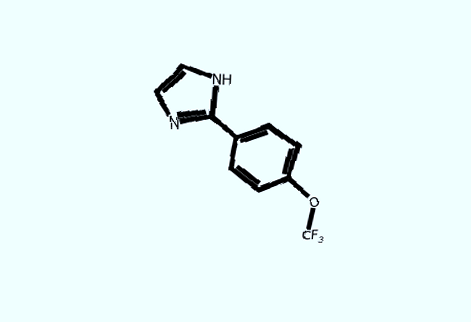 FC(F)(F)Oc1ccc(-c2ncc[nH]2)cc1